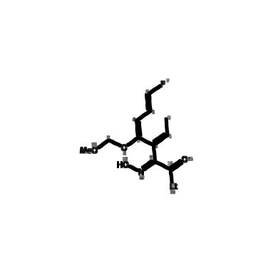 C/C=C(C(=C/C=C/F)\OCOC)/C(=N\O)C(=O)CC